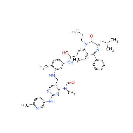 C/C=C1/C(c2ccccc2)=N[C@@H](CC(C)C)C(=O)N(CCC)/C1=C/CC(O)Nc1ccc(C)c(NCc2cnc(Nc3ccc(C)nc3)nc2N(C)C=O)c1